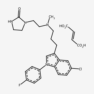 CN(CCCc1cn(-c2ccc(F)cc2)c2ccc(Cl)cc12)CCN1CCNC1=O.O=C(O)C=CC(=O)O